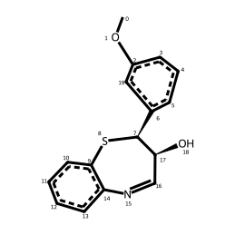 COc1cccc([C@@H]2Sc3ccccc3N=C[C@@H]2O)c1